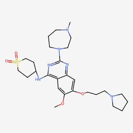 COc1cc2c(NC3CCS(=O)(=O)CC3)nc(N3CCCN(C)CC3)nc2cc1OCCCN1CCCC1